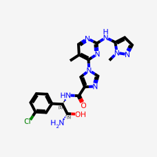 Cc1cnc(Nc2ccnn2C)nc1-n1cnc(C(=O)N[C@@H](c2cccc(Cl)c2)[C@@H](N)O)c1